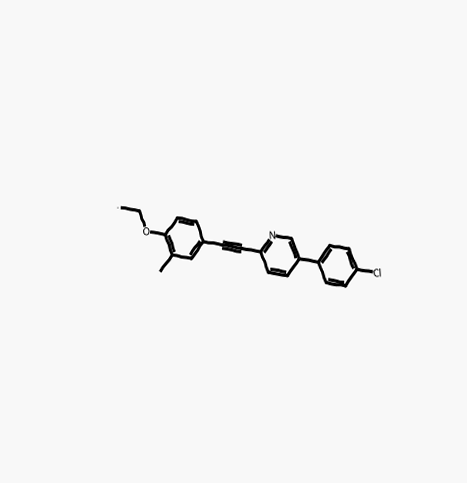 [CH2]COc1ccc(C#Cc2ccc(-c3ccc(Cl)cc3)cn2)cc1C